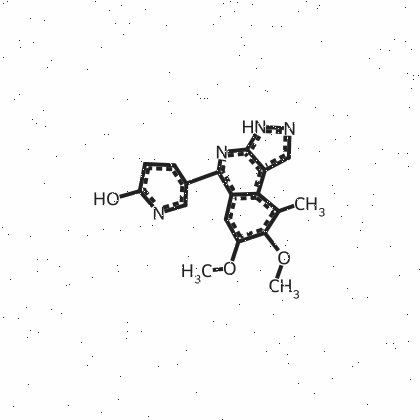 COc1cc2c(-c3ccc(O)nc3)nc3[nH]ncc3c2c(C)c1OC